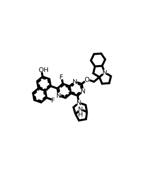 Oc1cc(-c2ncc3c(N4CC5CCC(C4)N5)nc(OCC45CCCN4C4CCCCC4C5)nc3c2F)c2c(F)cccc2c1